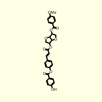 COc1ccc(C(=O)OC2COC3C(OC(=O)/C=C/c4ccc(OC(=O)c5ccc(O)cc5)cc4)COC23)cc1